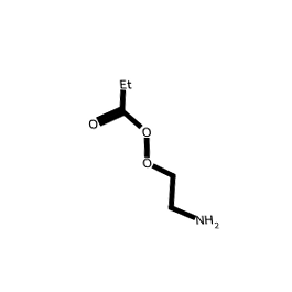 CCC(=O)OOCCN